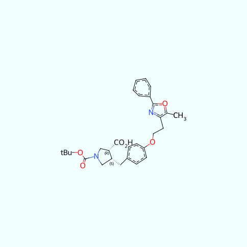 Cc1oc(-c2ccccc2)nc1CCOc1ccc(C[C@@H]2CN(C(=O)OC(C)(C)C)C[C@@H]2C(=O)O)cc1